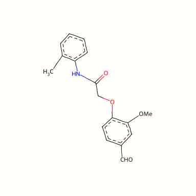 COc1cc(C=O)ccc1OCC(=O)Nc1ccccc1C